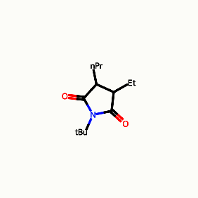 CCCC1C(=O)N(C(C)(C)C)C(=O)C1CC